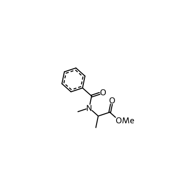 COC(=O)C(C)N(C)C(=O)c1ccccc1